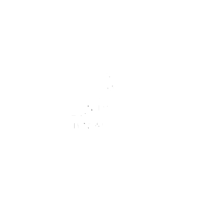 CC(N)(Cc1ccc(OCc2ccccc2F)cc1)C(N)=O